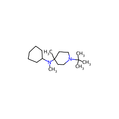 CN(C1CCCCC1)C1(C)CCN(C(C)(C)C)CC1